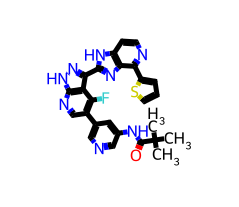 CC(C)(C)C(=O)Nc1cncc(-c2cnc3[nH]nc(-c4nc5c(-c6cccs6)nccc5[nH]4)c3c2F)c1